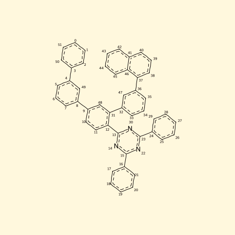 c1ccc(-c2cccc(-c3ccc(-c4nc(-c5ccccc5)nc(-c5ccccc5)n4)c(-c4cccc(-c5cccc6ccccc56)c4)c3)c2)cc1